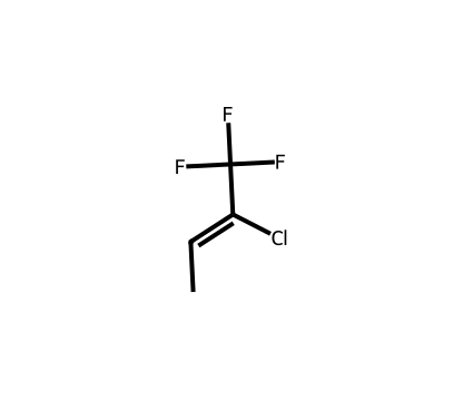 C/C=C(\Cl)C(F)(F)F